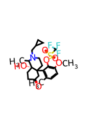 COc1ccc(C)c(C23CCN(CC4CC4)C(C)[C@]2(O)CCC(=O)C3)c1OS(=O)(=O)C(F)(F)F